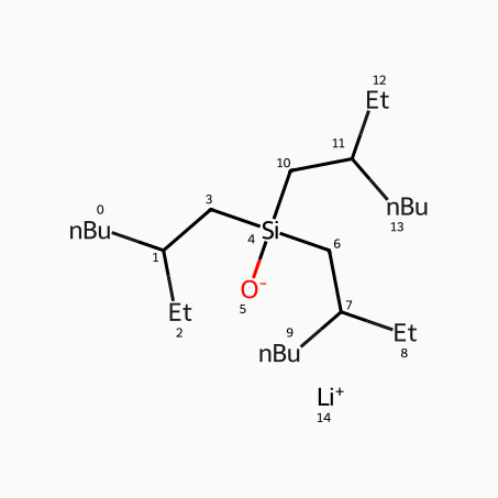 CCCCC(CC)C[Si]([O-])(CC(CC)CCCC)CC(CC)CCCC.[Li+]